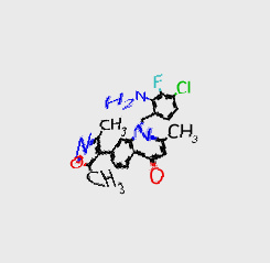 Cc1noc(C)c1-c1ccc2c(=O)cc(C)n(Cc3ccc(Cl)c(F)c3N)c2c1